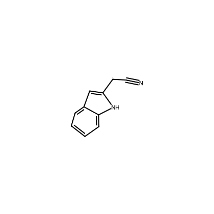 N#C[CH]c1cc2ccccc2[nH]1